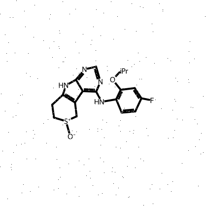 CC(C)Oc1cc(F)ccc1Nc1ncnc2[nH]c3c(c12)C[S+]([O-])CC3